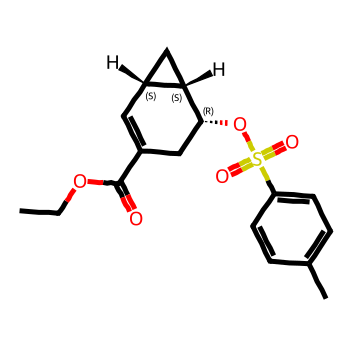 CCOC(=O)C1=C[C@@H]2C[C@@H]2[C@H](OS(=O)(=O)c2ccc(C)cc2)C1